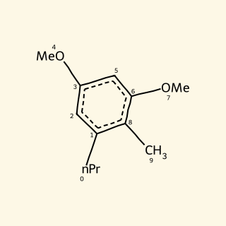 CCCc1cc(OC)cc(OC)c1C